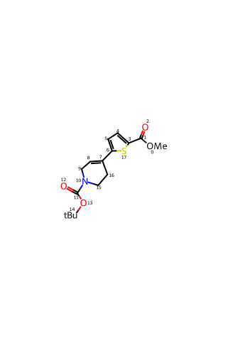 COC(=O)c1ccc(C2=CCN(C(=O)OC(C)(C)C)CC2)s1